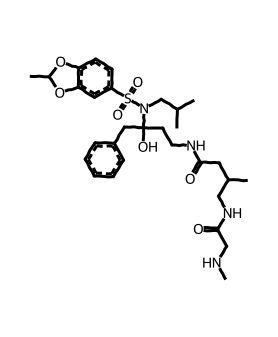 CNCC(=O)NCC(C)CC(=O)NCCC(O)(Cc1ccccc1)N(CC(C)C)S(=O)(=O)c1ccc2c(c1)OC(C)O2